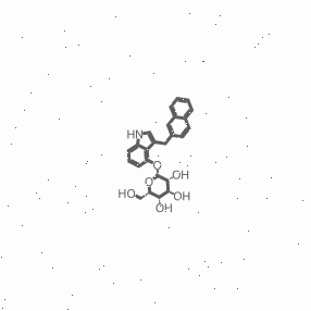 OC[C@H]1O[C@@H](Oc2cccc3[nH]cc(Cc4ccc5ccccc5c4)c23)[C@H](O)[C@@H](O)[C@@H]1O